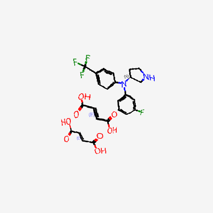 Fc1cccc(N(c2ccc(C(F)(F)F)cc2)[C@H]2CCNC2)c1.O=C(O)/C=C/C(=O)O.O=C(O)/C=C/C(=O)O